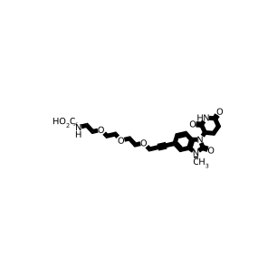 Cn1c(=O)n(C2CCC(=O)NC2=O)c2ccc(C#CCOCCOCCOCCNC(=O)O)cc21